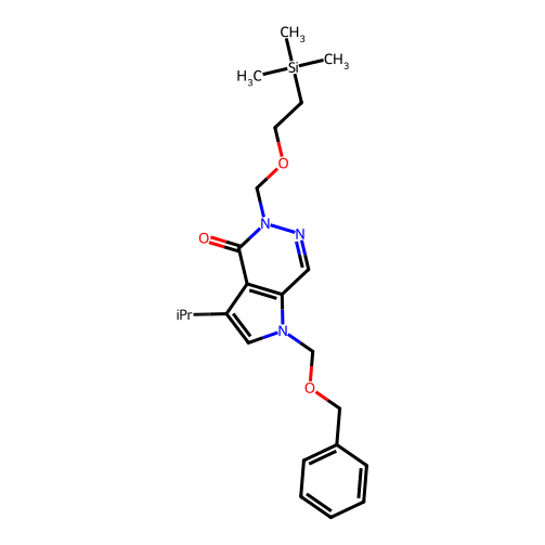 CC(C)c1cn(COCc2ccccc2)c2cnn(COCC[Si](C)(C)C)c(=O)c12